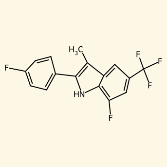 Cc1c(-c2ccc(F)cc2)[nH]c2c(F)cc(C(F)(F)F)cc12